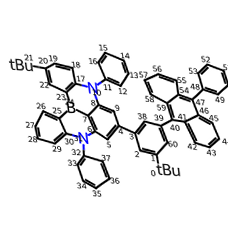 CC(C)(C)c1cc(-c2cc3c4c(c2)N(c2ccccc2)c2ccc(C(C)(C)C)cc2B4c2ccccc2N3c2ccccc2)cc(-c2c3ccccc3c(-c3ccccc3)c3ccccc23)c1